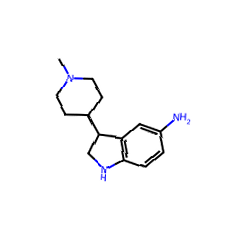 CN1CCC(C2CNc3ccc(N)cc32)CC1